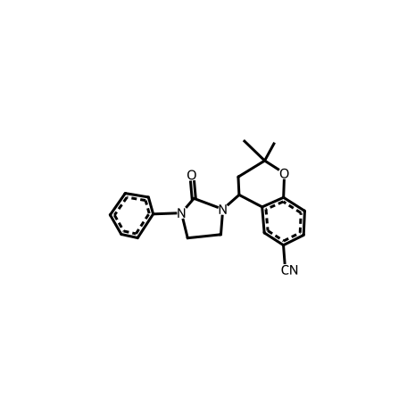 CC1(C)CC(N2CCN(c3ccccc3)C2=O)c2cc(C#N)ccc2O1